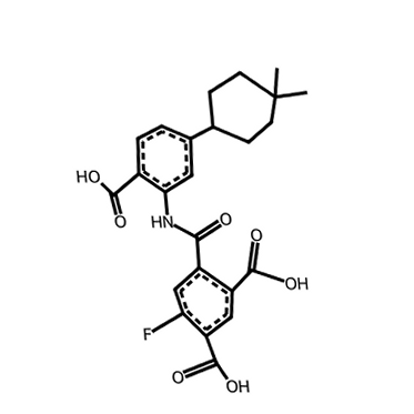 CC1(C)CCC(c2ccc(C(=O)O)c(NC(=O)c3cc(F)c(C(=O)O)cc3C(=O)O)c2)CC1